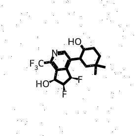 CC1(C)CCC(O)C(c2cnc(C(F)(F)F)c3c2[C@@H](F)[C@@H](F)[C@H]3O)C1